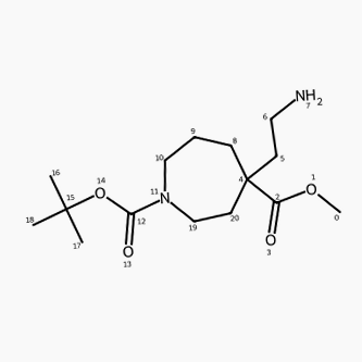 COC(=O)C1(CCN)CCCN(C(=O)OC(C)(C)C)CC1